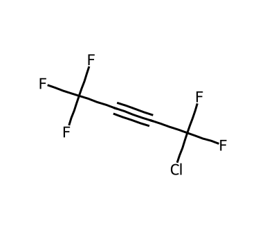 FC(F)(F)C#CC(F)(F)Cl